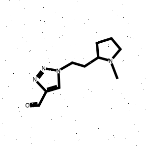 CN1CCCC1CCn1cc(C=O)nn1